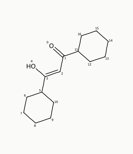 O=C(/C=C(\O)C1CCCCC1)C1CCCCC1